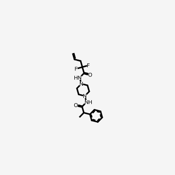 C=CCC(F)(F)C(=O)NN1CCN(NC(=O)C(C)c2ccccc2)CC1